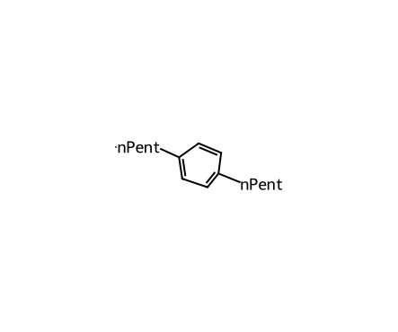 CCCC[CH]c1ccc(CCCCC)cc1